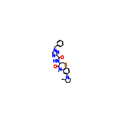 C[C@@H]1CCCN1c1ccc2c(c1)N(C)C(=O)[C@@H](NC(=O)c1ncn(Cc3ccccc3)n1)CS2